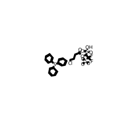 O=C(CCCCl)OC(C(F)(F)S(=O)(=O)[O-])S(=O)(=O)O.c1ccc([S+](c2ccccc2)c2ccccc2)cc1